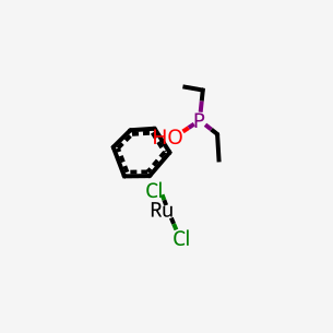 CCP(O)CC.[Cl][Ru][Cl].c1ccccc1